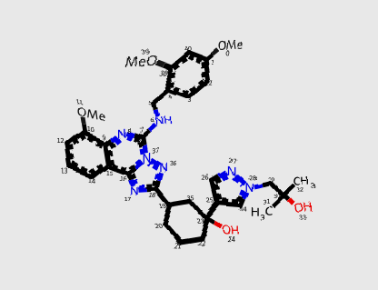 COc1ccc(CNc2nc3c(OC)cccc3c3nc(C4CCCC(O)(c5cnn(CC(C)(C)O)c5)C4)nn23)c(OC)c1